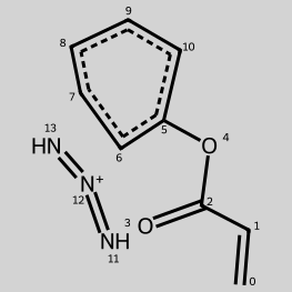 C=CC(=O)Oc1ccccc1.N=[N+]=N